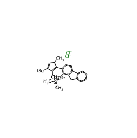 CC1=C(c2ccc3c([c]2[Zr+2][SiH](C)C)Cc2ccccc2-3)C(C)C=C1C(C)(C)C.[Cl-].[Cl-]